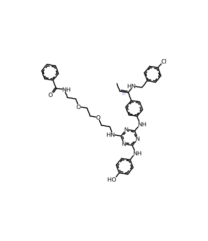 C/C=C(\NCc1ccc(Cl)cc1)c1ccc(Nc2nc(NCCOCCOCCNC(=O)c3ccccc3)nc(Nc3ccc(O)cc3)n2)cc1